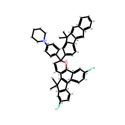 CC1(C)c2cc(C3(c4ccc(N5CCCCC5)cc4)C=Cc4c5c(c6ccc(F)cc6c4O3)-c3ccc(F)cc3C5(C)C)ccc2-c2cc3ccccc3cc21